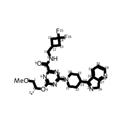 COC[C@@H](C)Oc1nc(C(=O)NCC2CC(F)(F)C2)nc(N2CCC(C3=NCc4ncccc43)CC2)n1